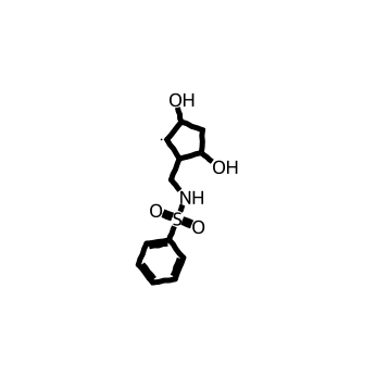 O=S(=O)(NCC1[CH]C(O)CC1O)c1ccccc1